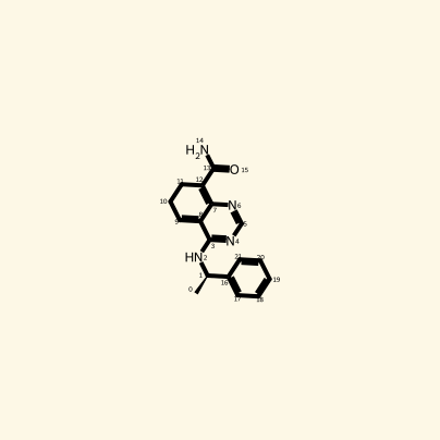 C[C@@H](Nc1ncnc2c1=CCCC=2C(N)=O)c1ccccc1